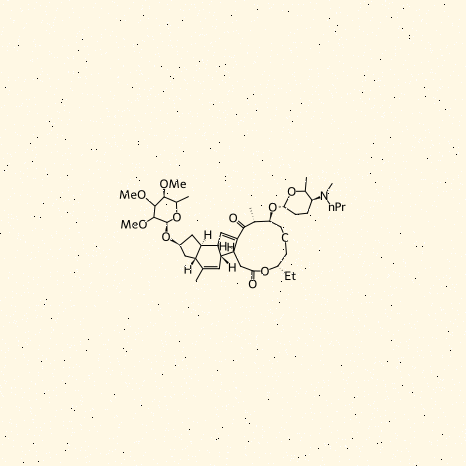 CCCN(C)[C@H]1CC[C@H](O[C@H]2CCC[C@H](CC)OC(=O)C[C@@H]3C(=C[C@@H]4[C@H]3C=C(C)[C@@H]3C[C@@H](O[C@@H]5OC(C)[C@H](OC)C(OC)C5OC)C[C@@H]43)C(=O)[C@@H]2C)OC1C